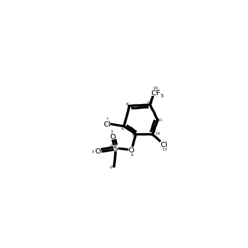 CS(=O)(=O)Oc1c(Cl)cc(C(F)(F)F)cc1Cl